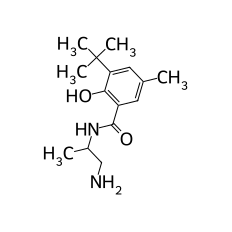 Cc1cc(C(=O)NC(C)CN)c(O)c(C(C)(C)C)c1